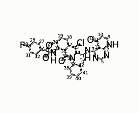 CC(Nc1ncnc2[nH]ccc(=O)c12)c1c(Cl)c2cccc(NS(=O)(=O)c3ccc(F)cc3)c2c(=O)n1-c1ccccc1